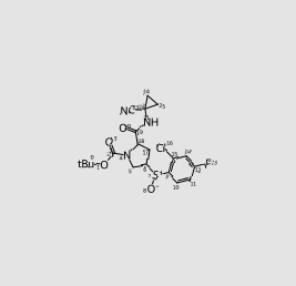 CC(C)(C)OC(=O)N1CC([S+]([O-])c2ccc(F)cc2Cl)CC1C(=O)NC1(C#N)CC1